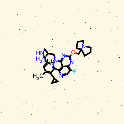 Cc1cc(N)nc(-c2ncc(F)c3nc(OCC45CCCN4CCC5)nc(N(C)CC4CNC4)c23)c1C1CC1